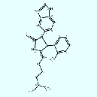 Cc1ccccc1C1C(=NCCCN(C)C)NC(=O)N1c1ccc2[nH]cnc2c1